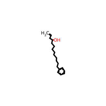 C=CCC(O)CCCCCCCCCc1ccccc1